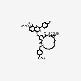 CCOC(=O)C12CC1/C=C/CCCCCN(Cc1ccc(OC)cc1)C(=O)N1CC(Oc3nc(-c4ccc(F)cc4)nc4c(C)c(OC)ccc34)CC1C(=O)N2